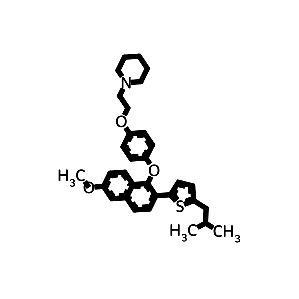 COc1ccc2c(Oc3ccc(OCCN4CCCCC4)cc3)c(-c3ccc(CC(C)C)s3)ccc2c1